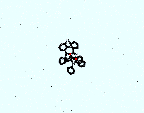 c1ccc(-c2nc(-c3ccccc3)nc(-c3cccc4oc5cccc(-c6ccc7c(c6)c6ccccc6n7-c6ccccc6)c5c34)n2)cc1